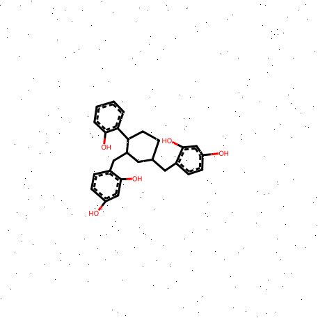 Oc1ccc(CC2CCC(c3ccccc3O)C(Cc3ccc(O)cc3O)C2)c(O)c1